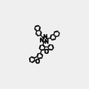 C1=Cc2cc(-c3nc(-c4ccc5ccccc5c4)nc(-c4ccc(-c5ccc6oc7ccccc7c6c5)c5oc6ccccc6c45)n3)ccc2CC1